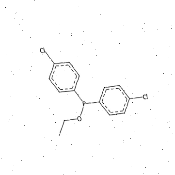 CCOP(c1ccc(Cl)cc1)c1ccc(Cl)cc1